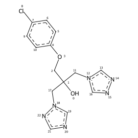 OC(COc1ccc(Cl)cc1)(Cn1cnnc1)Cn1cncn1